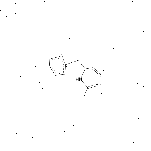 CC(=O)NC([C]=S)Cc1ccccn1